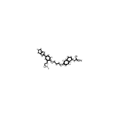 CCCc1cc(-c2nc3c(s2)CCC3)ccc1OCCCOc1ccc2c(c1)CC[C@H]2CC(=O)O